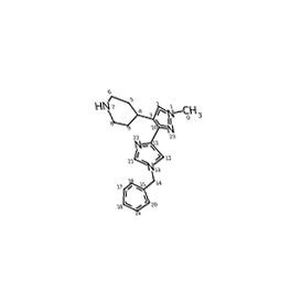 Cn1cc(C2CCNCC2)c(-c2cn(Cc3ccccc3)cn2)n1